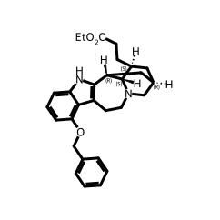 CCOC(=O)CC[C@H]1C[C@@H]2C[C@H]3c4[nH]c5cccc(OCc6ccccc6)c5c4CCN(C2)[C@@H]13